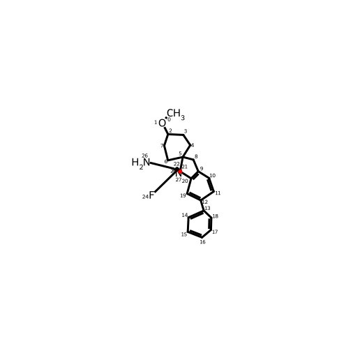 COC1CCC2(CC1)Cc1ccc(-c3ccccc3)cc1C21C=C(F)C(N)=N1